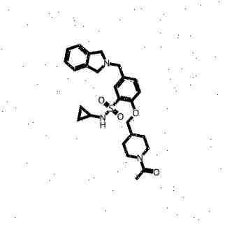 CC(=O)N1CCC(COc2ccc(CN3Cc4ccccc4C3)cc2S(=O)(=O)NC2CC2)CC1